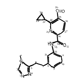 Cn1cnnc1CCc1cccc(NC(=O)c2ccc(C=O)c(C3CC3)n2)c1